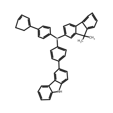 CC1(C)c2ccccc2-c2ccc(N(c3ccc(C4=CC=CCC4)cc3)c3ccc(-c4ccc5[nH]c6ccccc6c5c4)cc3)cc21